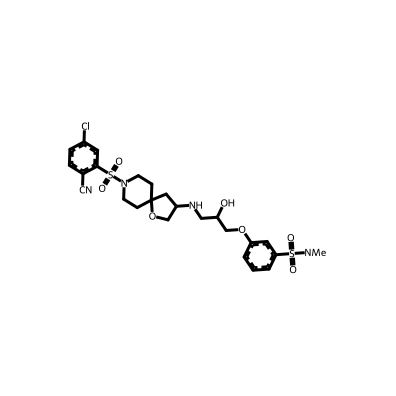 CNS(=O)(=O)c1cccc(OCC(O)CNC2COC3(CCN(S(=O)(=O)c4cc(Cl)ccc4C#N)CC3)C2)c1